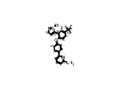 Cc1cccc(-c2ccc(Oc3ccc(C(F)(F)F)cc3-c3ccnn3C)cc2)n1